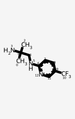 CC(C)(N)CNc1ccc(C(F)(F)F)cn1